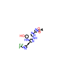 O=S(=O)(C1CC1)n1cc(-c2nccc(Nc3cc(N[C@H]4CCC[C@H](O)C4)c(C#Cc4cnn(CC(F)(F)F)c4)cn3)n2)cn1